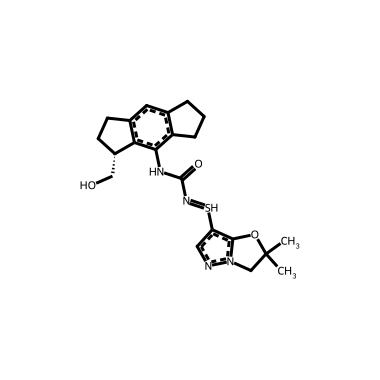 CC1(C)Cn2ncc(/[SH]=N/C(=O)Nc3c4c(cc5c3[C@H](CO)CC5)CCC4)c2O1